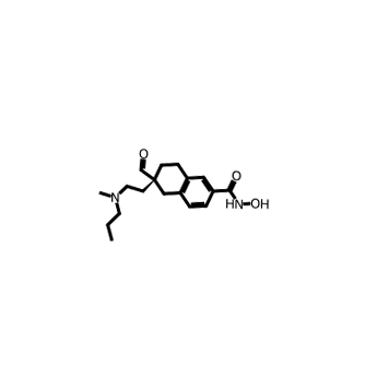 CCCN(C)CC[C@@]1(C=O)CCc2cc(C(=O)NO)ccc2C1